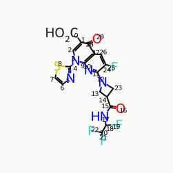 O=C(O)c1cn(-c2nccs2)c2nc(N3CC(C(=O)NC(F)C(F)F)C3)c(F)cc2c1=O